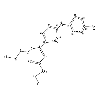 CCOC(=O)C=C(CCCCCl)c1ccc(Oc2ccc(Br)cc2)cc1